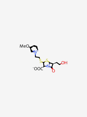 COc1ccc[n+](CCSC2SC3[C@@H](CCO)C(=O)N3C2C(=O)[O-])c1